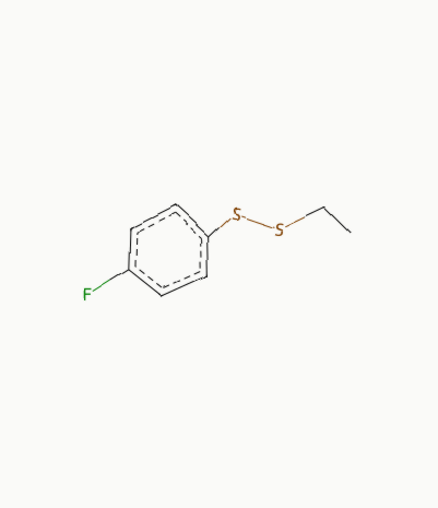 CCSSc1ccc(F)cc1